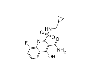 NC(=O)c1c(S(=O)(=O)NCC2CC2)nc2c(F)cccc2c1O